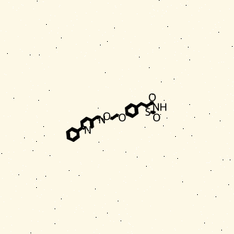 O=C1NC(=O)C(Cc2ccc(OCCON=Cc3ccc(-c4ccccc4)nc3)cc2)S1